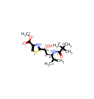 COC(=O)c1csc([C@H](O)C[C@@H](NC(=O)C(C)(C)C)C(C)C)n1